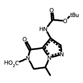 CC1CN(C(=O)O)C(=O)c2c(NC(=O)OC(C)(C)C)cnn21